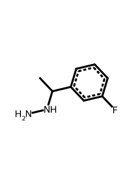 CC(NN)c1cccc(F)c1